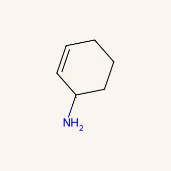 N[C]1C=CCCC1